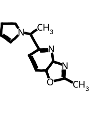 CC1=NC2N=C(C(C)N3C=CCC3)C=CC2O1